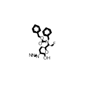 [N-]=[N+]=N[C@@H]1CC[C@@H]([C@@H](CF)N(Cc2ccccc2)C(=O)OCc2ccccc2)OC1O